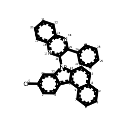 Clc1ccc2c3c4ccccc4ccc3n(-c3nc4ccccc4nc3-c3ccccc3)c2c1